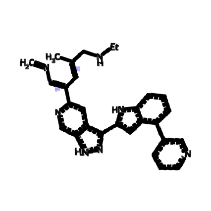 C=N/C=C(\C=C(/C)CNCC)c1cc2c(-c3cc4c(-c5cccnc5)cccc4[nH]3)n[nH]c2cn1